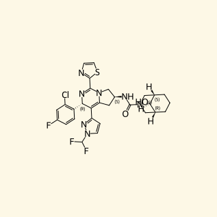 O=C(N[C@H]1CC2=C(c3ccn(C(F)F)n3)[C@H](c3ccc(F)cc3Cl)N=C(c3nccs3)N2C1)N1C[C@H]2CCC[C@@H](C1)[C@@H]2O